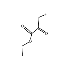 CCOC(=O)C(=O)CF